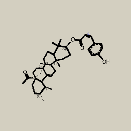 CC(=O)[C@]12CC[C@@H](C)[C@H](C)C1C1=CCC3[C@@]4(C)CC[C@H](OC(=O)/C=C\c5ccc(O)cc5)C(C)(C)C4CC[C@@]3(C)[C@]1(C)CC2